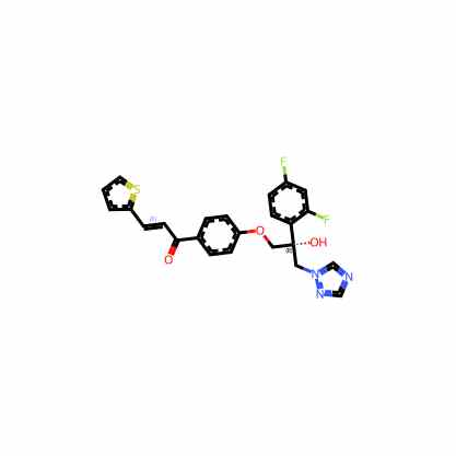 O=C(/C=C/c1cccs1)c1ccc(OC[C@](O)(Cn2cncn2)c2ccc(F)cc2F)cc1